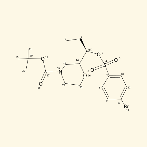 CC[C@@H](OS(=O)(=O)c1ccc(Br)cc1)C1CN(C(=O)OC(C)(C)C)CCO1